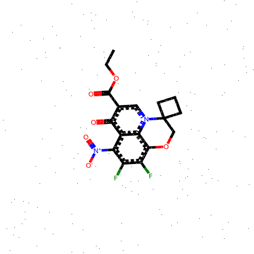 CCOC(=O)c1cn2c3c(c(F)c(F)c([N+](=O)[O-])c3c1=O)OCC21CCC1